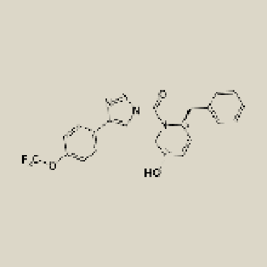 O=C(N1C[C@@H](O)C=C[C@@H]1Cc1ccccc1)n1cc(-c2ccc(OC(F)(F)F)cc2)nn1